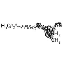 CCCCCCCCCCCCCCCCc1cc(OCC(COC(=O)C(N)(CCCCC[n+]2ccsc2)C(=O)OCC)Oc2ccon2)no1